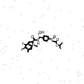 Cc1cc2c(cc(C(=O)N[C@H](CO)c3ccc([S@@+]([O-])CC(=O)OC(C)C)cc3)n2C)c(F)c1F